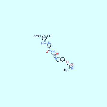 CC(=O)N[C@@H]1C[C@H](C)C[C@@H](Nc2cc(C(=O)NC[C@H](O)CN3CCc4cc(OCc5ocnc5C)ccc4C3)ccn2)C1